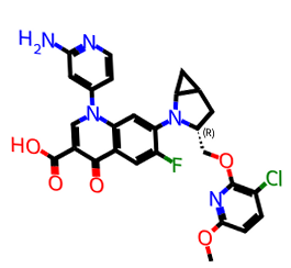 COc1ccc(Cl)c(OC[C@H]2CC3CC3N2c2cc3c(cc2F)c(=O)c(C(=O)O)cn3-c2ccnc(N)c2)n1